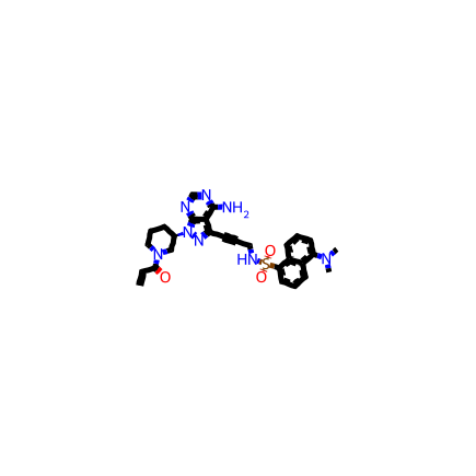 C=CC(=O)N1CCC[C@@H](n2nc(C#CCNS(=O)(=O)c3cccc4c(N(C)C)cccc34)c3c(N)ncnc32)C1